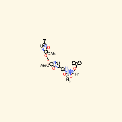 COc1cc2c(cc1OCCCOc1cc3c(cc1OC)C(=O)N1C=C(C4CC4)C[C@H]1C=N3)N=C[C@@H]1CC(c3ccc(NC(=O)[C@H](C)NC(=O)[C@@H](NCOCC4c5ccccc5-c5ccccc54)C(C)C)cc3)=CN1C2=O